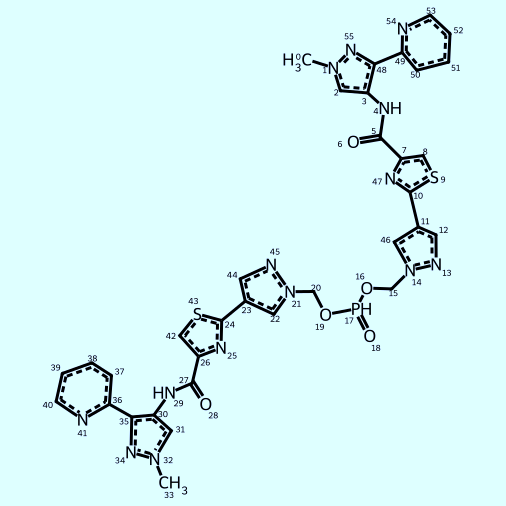 Cn1cc(NC(=O)c2csc(-c3cnn(CO[PH](=O)OCn4cc(-c5nc(C(=O)Nc6cn(C)nc6-c6ccccn6)cs5)cn4)c3)n2)c(-c2ccccn2)n1